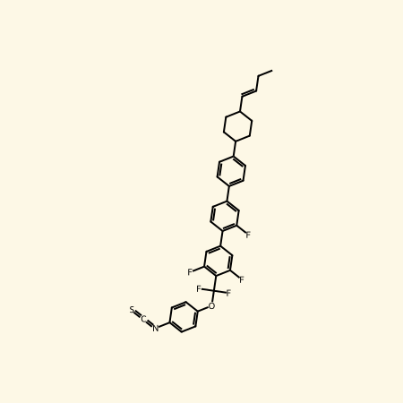 CC/C=C/C1CCC(c2ccc(-c3ccc(-c4cc(F)c(C(F)(F)Oc5ccc(N=C=S)cc5)c(F)c4)c(F)c3)cc2)CC1